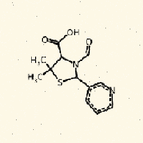 CC1(C)SC(c2cccnc2)N(C=O)C1C(=O)O